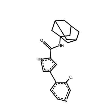 O=C(NC12CC3CC(CC(C3)C1)C2)c1cc(-c2ccncc2Cl)c[nH]1